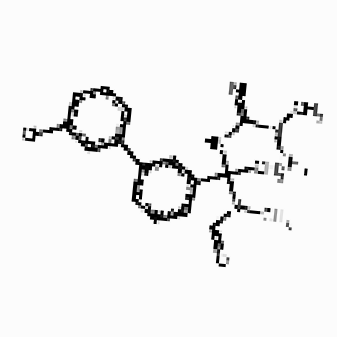 CN(C)C(=N)NC(C)(c1cccc(-c2cccc(Cl)c2)c1)N(C)C=O